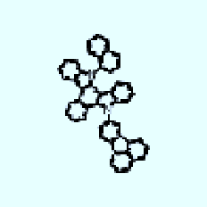 c1ccc2c(-n3c4ccccc4c4c5ccccc5c5c(c6ccccc6n5-c5ccc6c(c5)-c5cccc7cccc-6c57)c43)cccc2c1